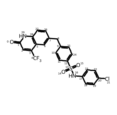 O=c1cc(C(F)(F)F)c2cc(Cc3ccc(S(=O)(=O)Nc4ccc(Cl)cc4)cc3)ccc2[nH]1